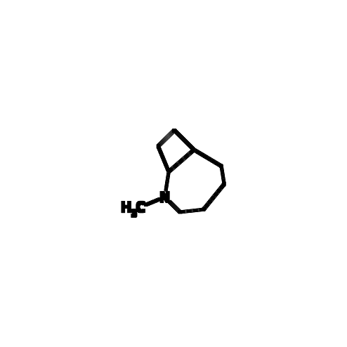 CN1CCCCC2CCC21